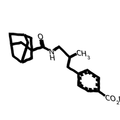 CCOC(=O)c1ccc(CC(C)CNC(=O)C23CC4CC(CC(C4)C2)C3)cc1